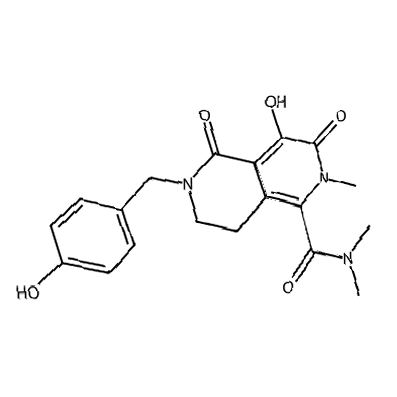 CN(C)C(=O)c1c2c(c(O)c(=O)n1C)C(=O)N(Cc1ccc(O)cc1)CC2